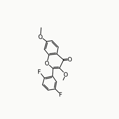 COc1ccc2c(=O)c(OC)c(-c3cc(F)ccc3F)oc2c1